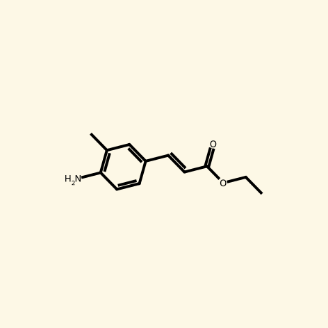 CCOC(=O)/C=C/c1ccc(N)c(C)c1